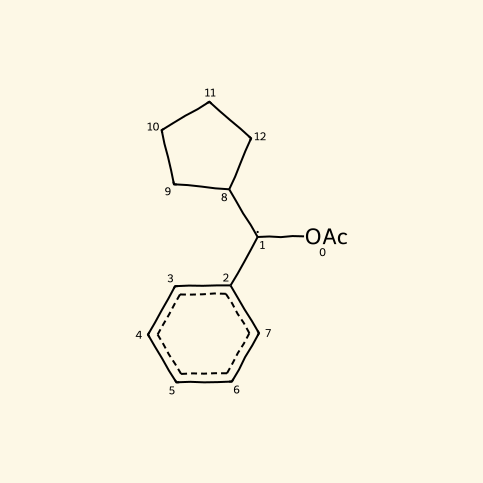 CC(=O)O[C](c1ccccc1)C1CCCC1